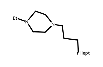 CCCCCCCCCCN1CCN(CC)CC1